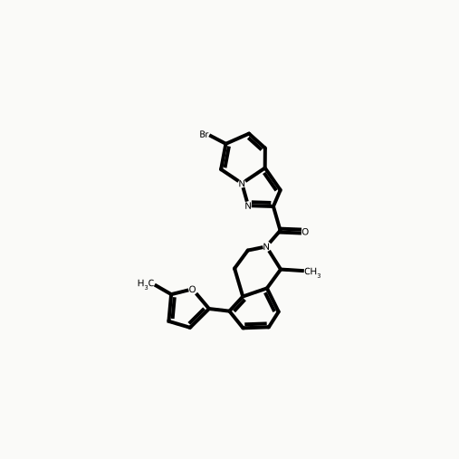 Cc1ccc(-c2cccc3c2CCN(C(=O)c2cc4ccc(Br)cn4n2)C3C)o1